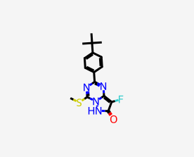 CSc1nc(-c2ccc(C(C)(C)C)cc2)nc2c(F)c(=O)[nH]n12